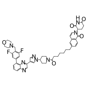 O=C1CCC(n2ccc3cc(CCCCCCC(=O)N4CCC(n5cc(-c6cnc7cccc(-c8cc(F)c(CN9CCOCC9)c(F)c8)c7n6)cn5)CC4)ccc3c2=O)C(=O)N1